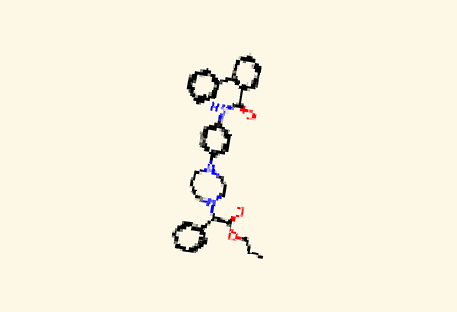 CCCOC(=O)C(c1ccccc1)N1CCCN(c2ccc(NC(=O)c3ccccc3-c3ccccc3)cc2)CC1